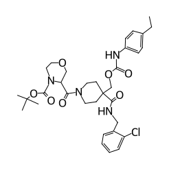 CCc1ccc(NC(=O)OCC2(C(=O)NCc3ccccc3Cl)CCN(C(=O)C3COCCN3C(=O)OC(C)(C)C)CC2)cc1